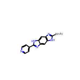 CC(=O)Nc1nc2cc3[nH]c(-c4ccncc4)nc3cc2[nH]1